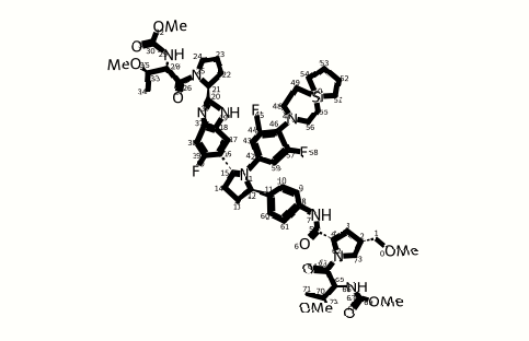 COC[C@H]1C[C@@H](C(=O)Nc2ccc([C@H]3CC[C@H](c4cc5[nH]c([C@@H]6CCCN6C(=O)[C@@H](NC(=O)OC)[C@@H](C)OC)nc5cc4F)N3c3cc(F)c(N4CC[Si]5(CCCC5)CC4)c(F)c3)cc2)N(C(=O)[C@@H](NC(=O)OC)[C@@H](C)OC)C1